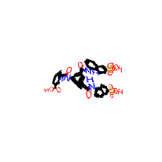 O=C(O)c1cccc(C(=O)Nc2cc(C(=O)Nc3cccc4cc(S(=O)(=O)O)ccc34)cc(C(=O)Nc3cccc4cc(S(=O)(=O)O)ccc34)c2)c1